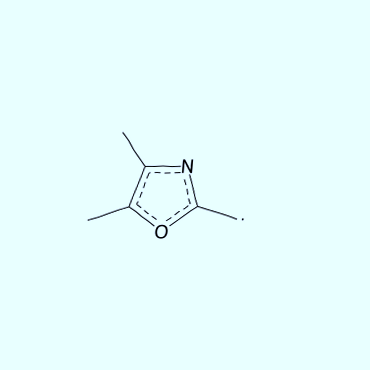 [CH2]c1nc(C)c(C)o1